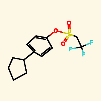 O=S(=O)(CC(F)(F)F)Oc1ccc(C2CCCC2)cc1